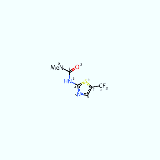 CNC(=O)Nc1ncc(C(F)(F)F)s1